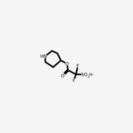 O=C(OC1CCNCC1)C(F)(F)S(=O)(=O)O